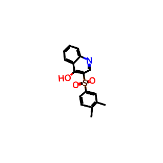 Cc1ccc(S(=O)(=O)c2cnc3ccccc3c2O)cc1C